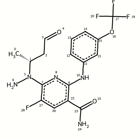 C[C@H](CC=O)N(N)c1nc(Nc2cccc(OC(F)(F)F)c2)c(C(N)=O)cc1F